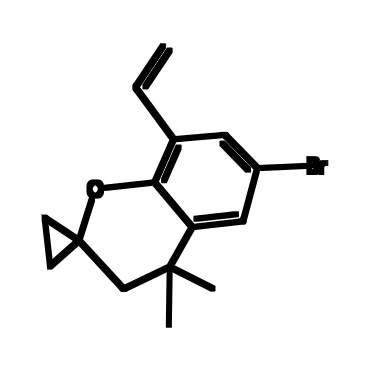 C=Cc1cc(Br)cc2c1OC1(CC1)CC2(C)C